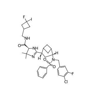 CC1(C)N=C([C@H]2C[C@@H](N(Cc3ccc(Cl)c(F)c3)S(=O)(=O)c3ccccc3)C3CC2C3)N[C@@H]1C(=O)NCC1CC(F)(I)C1